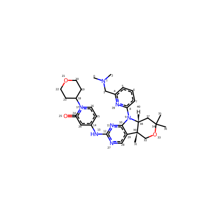 CN(C)Cc1cccc(N2c3nc(Nc4ccn(C5CCOCC5)c(=O)c4)ncc3[C@@]3(C)COC(C)(C)C[C@@H]23)n1